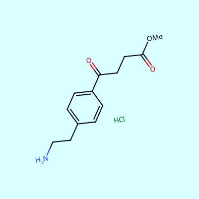 COC(=O)CCC(=O)c1ccc(CCN)cc1.Cl